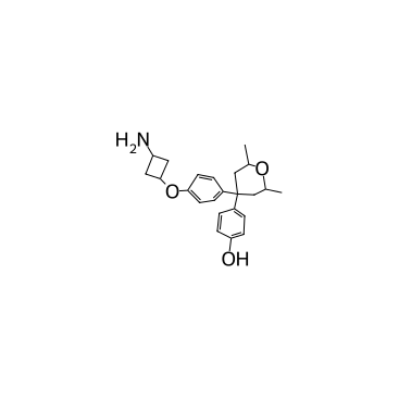 CC1CC(c2ccc(O)cc2)(c2ccc(OC3CC(N)C3)cc2)CC(C)O1